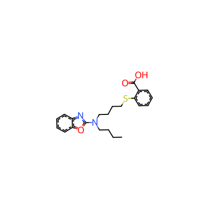 CCCCN(CCCCSc1ccccc1C(=O)O)c1nc2ccccc2o1